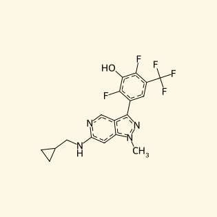 Cn1nc(-c2cc(C(F)(F)F)c(F)c(O)c2F)c2cnc(NCC3CC3)cc21